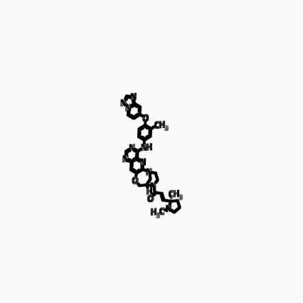 Cc1cc(Nc2ncnc3cc4c(nc23)N2CCN(C(=O)/C=C/[C@@]3(C)CCCN3C)[C@H](CO4)C2)ccc1Oc1ccn2ncnc2c1